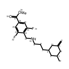 C=C1CC(C)CC(CCCNCc2c(F)cc(C(=O)OC)cc2F)C1